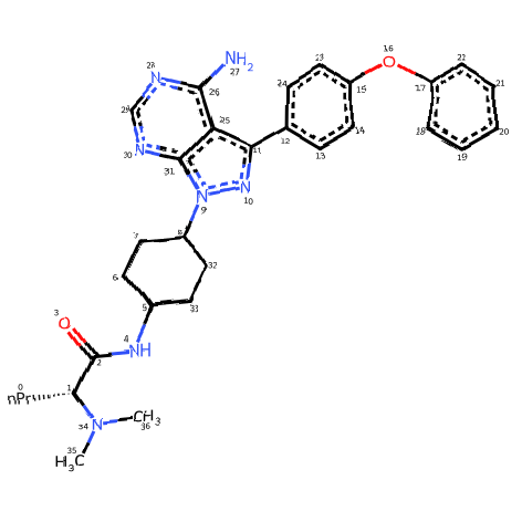 CCC[C@H](C(=O)NC1CCC(n2nc(-c3ccc(Oc4ccccc4)cc3)c3c(N)ncnc32)CC1)N(C)C